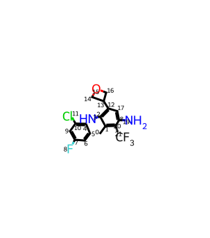 Cc1c(Nc2ccc(F)cc2Cl)c(C2COC2)cc(N)c1C(F)(F)F